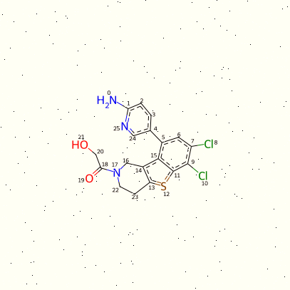 Nc1ccc(-c2cc(Cl)c(Cl)c3sc4c(c23)CN(C(=O)CO)CC4)cn1